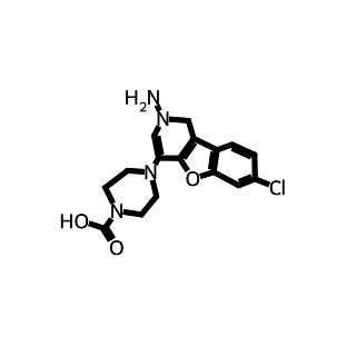 NN1C=C(N2CCN(C(=O)O)CC2)c2oc3cc(Cl)ccc3c2C1